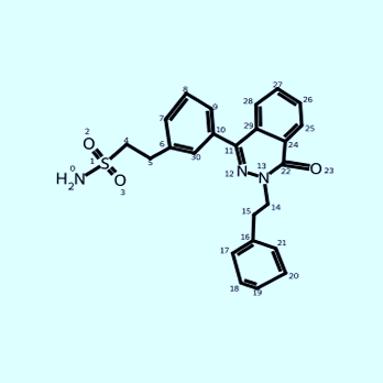 NS(=O)(=O)CCc1cccc(-c2nn(CCc3ccccc3)c(=O)c3ccccc23)c1